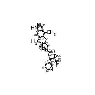 Cc1c(C[C@@H](CNC(=O)C[C@@H](c2cccnc2)C2(C(F)(F)F)CC2)N(C)C)ccc2[nH]ncc12